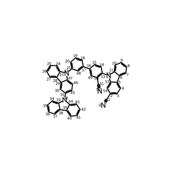 N#Cc1ccc2c3ccccc3n(-c3ccc(-c4cccc(-n5c6ccccc6c6cc(-n7c8ccccc8c8ccccc87)ccc65)c4)cc3C#N)c2c1